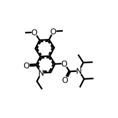 CCn1cc(OC(=O)N(C(C)C)C(C)C)c2cc(OC)c(OC)cc2c1=O